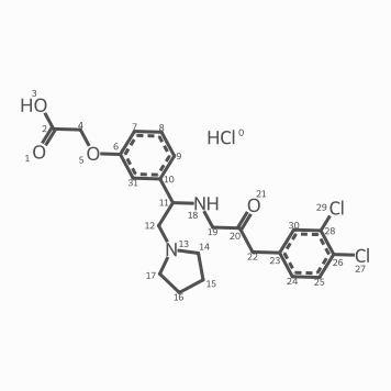 Cl.O=C(O)COc1cccc(C(CN2CCCC2)NCC(=O)Cc2ccc(Cl)c(Cl)c2)c1